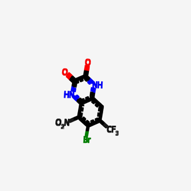 O=c1[nH]c2cc(C(F)(F)F)c(Br)c([N+](=O)[O-])c2[nH]c1=O